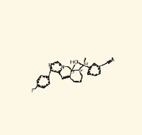 C[C@]12Cn3cnc(-c4ccc(F)cc4)c3C=C1CCC[C@@H]2[C@](C)(O)c1cccc(C#N)c1